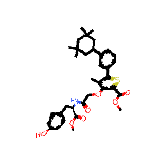 COC(=O)c1sc(-c2cccc(C3CC(C)(C)CC(C)(C)C3)c2)c(C)c1OCC(=O)NC(Cc1ccc(O)cc1)C(=O)OC